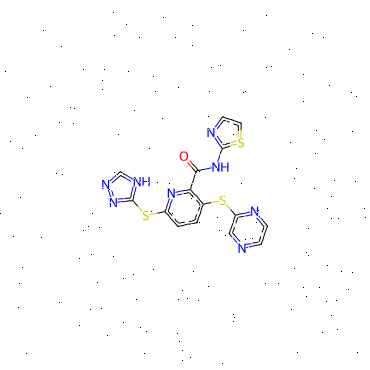 O=C(Nc1nccs1)c1nc(Sc2nnc[nH]2)ccc1Sc1cnccn1